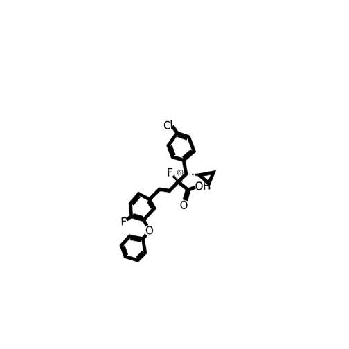 O=C(O)[C@](F)(CCc1ccc(F)c(Oc2ccccc2)c1)[C@H](c1ccc(Cl)cc1)C1CC1